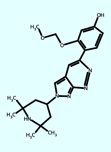 COCOc1cc(O)ccc1-c1cc2cn(C3CC(C)(C)NC(C)(C)C3)nc2nn1